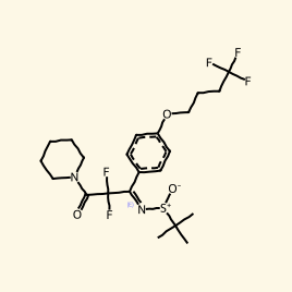 CC(C)(C)[S+]([O-])/N=C(\c1ccc(OCCCC(F)(F)F)cc1)C(F)(F)C(=O)N1CCCCC1